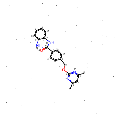 Cc1cc(C)nc(OCc2ccc(C(=O)Nc3ccccc3N)cc2)n1